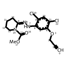 C#CCOc1cc(N/N=C2/CCCCN2C(=O)OC)c(Cl)cc1Cl